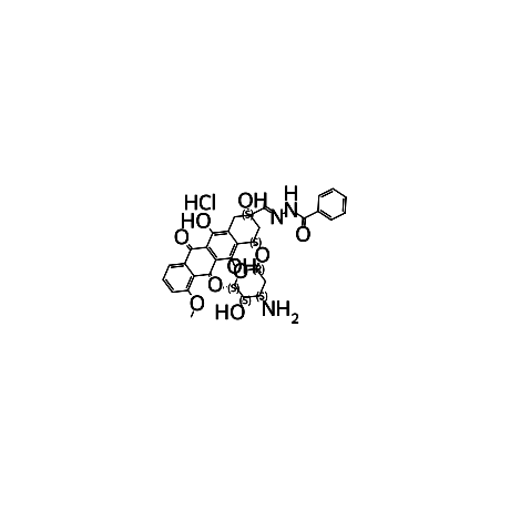 COc1cccc2c1C(=O)c1c(O)c3c(c(O)c1C2=O)C[C@@](O)(C(C)=NNC(=O)c1ccccc1)C[C@@H]3O[C@H]1C[C@H](N)[C@H](O)[C@H](C)O1.Cl